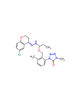 CCC(NN=C1CCOc2ccc(Cl)cc21)OCc1c(C)cccc1-n1nnn(C)c1=O